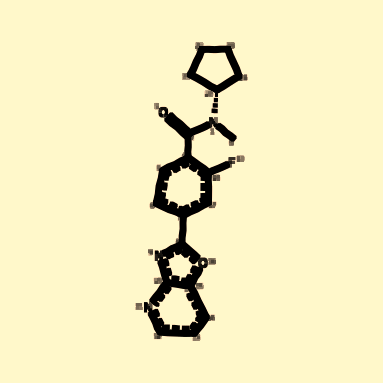 CN(C(=O)c1ccc(-c2nc3ncccc3o2)cc1F)[C@@H]1C[CH]CC1